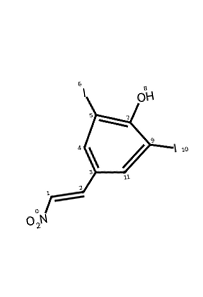 O=[N+]([O-])C=Cc1cc(I)c(O)c(I)c1